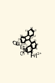 CC[Si]1(Cl)C2=C1[CH]([Hf+2])c1cccc(C3c4ccccc4-c4ccccc43)c12.[Cl-].[Cl-]